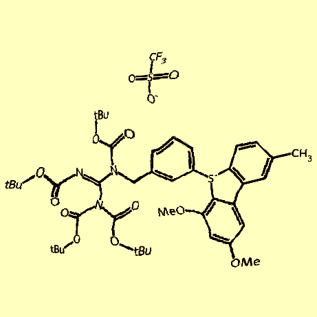 COc1cc(OC)c2c(c1)c1cc(C)ccc1[s+]2-c1cccc(CN(C(=O)OC(C)(C)C)/C(=N/C(=O)OC(C)(C)C)N(C(=O)OC(C)(C)C)C(=O)OC(C)(C)C)c1.O=S(=O)([O-])C(F)(F)F